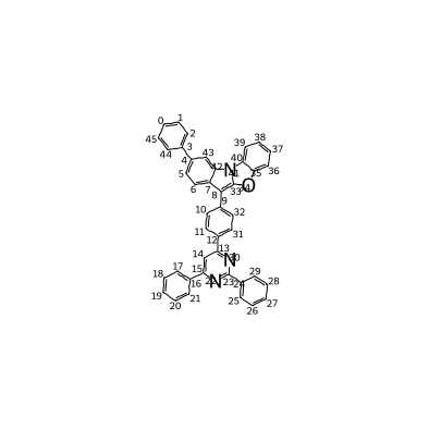 c1ccc(-c2ccc3c(-c4ccc(-c5cc(-c6ccccc6)nc(-c6ccccc6)n5)cc4)c4oc5ccccc5n4c3c2)cc1